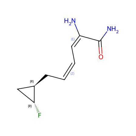 NC(=O)/C(N)=C\C=C/C[C@@H]1C[C@H]1F